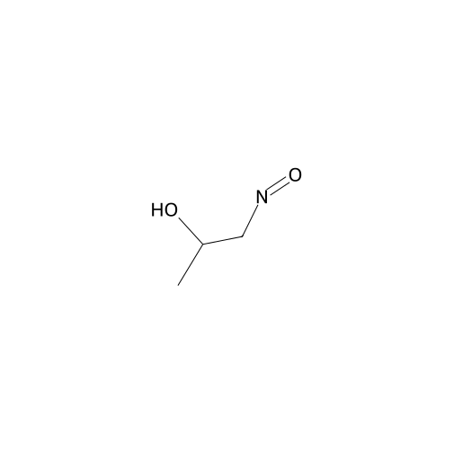 CC(O)CN=O